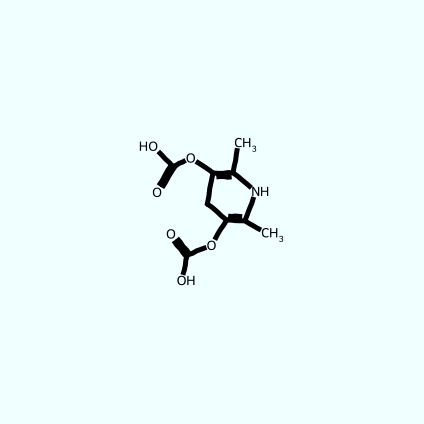 CC1=C(OC(=O)O)CC(OC(=O)O)=C(C)N1